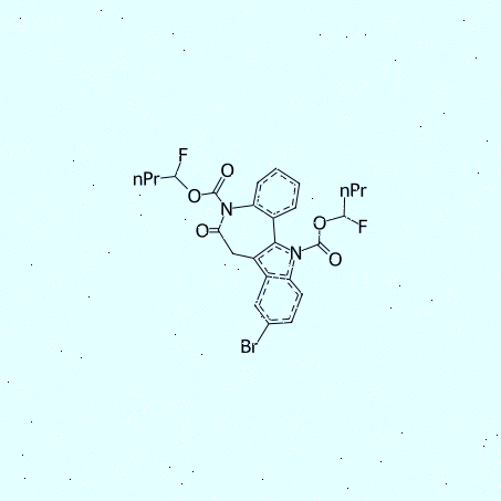 CCCC(F)OC(=O)N1C(=O)Cc2c(n(C(=O)OC(F)CCC)c3ccc(Br)cc23)-c2ccccc21